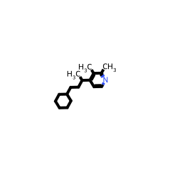 Cc1nccc(C(C)CCC2CCCCC2)c1C